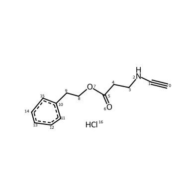 C#CNCCC(=O)OCCc1ccccc1.Cl